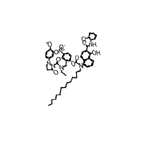 CCCCCCCCCCCCCCN(C(=O)Oc1ccc([N+](=O)[O-])cc1CN(CC)C(=O)N1C(=O)CCN1c1ccc(OC)cc1)c1cccc2c(O)c(C(=O)Nc3ccccc3Cl)ccc12